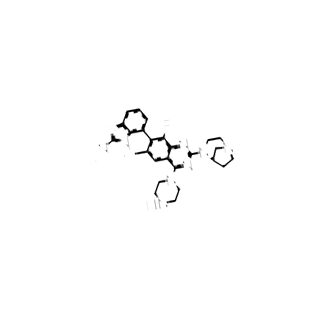 Nc1nc2c(-c3c(Cl)cc4c(N5CCNCC5)nc(N5CCN6CCC5C6)nc4c3F)cccc2s1